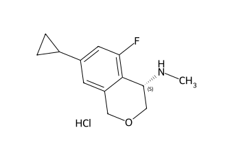 CN[C@@H]1COCc2cc(C3CC3)cc(F)c21.Cl